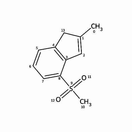 CC1=Cc2c(cccc2S(C)(=O)=O)C1